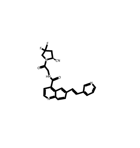 N#C[C@@H]1CC(F)(F)CN1C(=O)CNC(=O)c1ccnc2ccc(/C=C/c3cccnc3)cc12